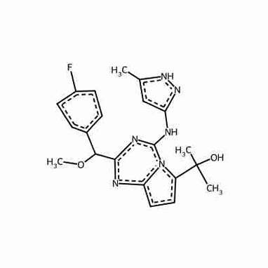 COC(c1ccc(F)cc1)c1nc(Nc2cc(C)[nH]n2)n2c(C(C)(C)O)ccc2n1